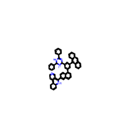 C1=CC2=c3ccncc3=C(c3ccc4c(-c5cc(-c6c7ccccc7cc7ccccc67)cc(C6N=C(c7ccccc7)NC(c7ccccc7)N6)c5)cccc4c3)NC2C=C1